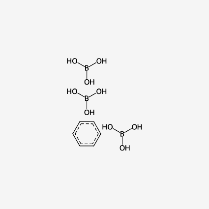 OB(O)O.OB(O)O.OB(O)O.c1ccccc1